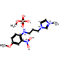 COS(=O)(=O)[O-].COc1ccc(NCCCn2cc[n+](C)c2)c([N+](=O)[O-])c1